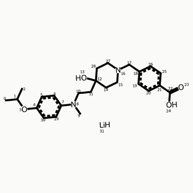 CC(C)Oc1ccc(N(C)CCC2(O)CCN(Cc3ccc(C(=O)O)cc3)CC2)cc1.[LiH]